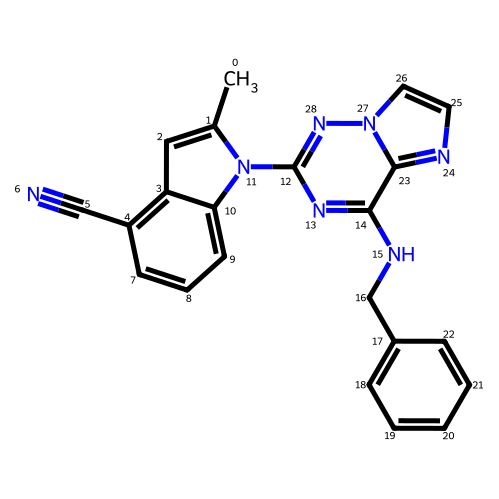 Cc1cc2c(C#N)cccc2n1-c1nc(NCc2ccccc2)c2nccn2n1